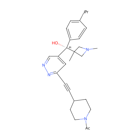 CC(=O)N1CCC(C#Cc2cc([C@@](O)(c3ccc(C(C)C)cc3)C3(C)CN(C)C3)cnn2)CC1